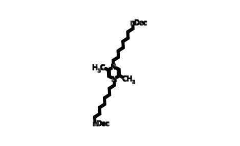 CCCCCCCCCCCCCCCCCCN1C=C(C)N(CCCCCCCCCCCCCCCCCC)C=C1C